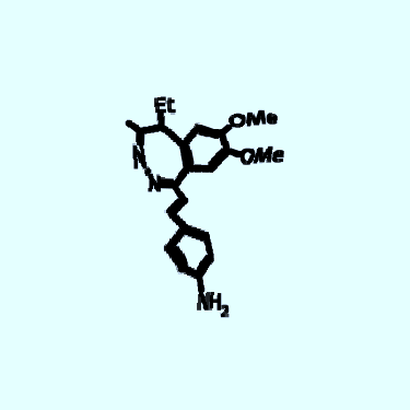 CCC1C(C)=NN=C(C=Cc2ccc(N)cc2)c2cc(OC)c(OC)cc21